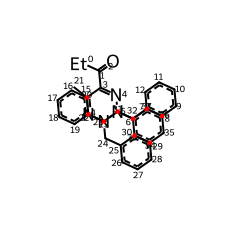 CCC(=O)C(=NN(Cc1ccccc1)Cc1ccccc1)C(C)=NN(Cc1ccccc1)Cc1ccccc1